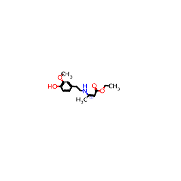 CCOC(=O)/C=C(/C)NCCc1ccc(O)c(OC)c1